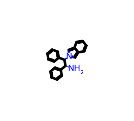 N[C@H](c1ccccc1)[C@@H](c1ccccc1)n1cc2ccccc2c1